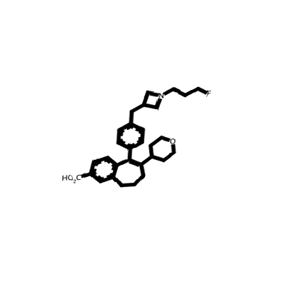 O=C(O)c1ccc2c(c1)CCCC(C1CCOCC1)=C2c1ccc(CC2CN(CCCF)C2)cc1